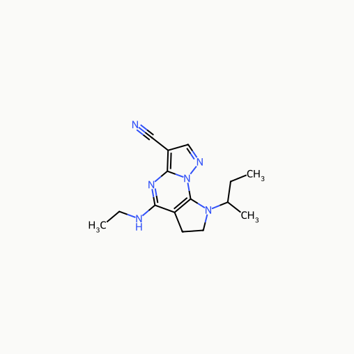 CCNc1nc2c(C#N)cnn2c2c1CCN2C(C)CC